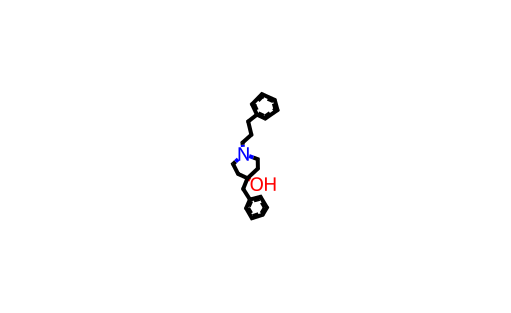 OC1(Cc2ccccc2)CCN(CCCc2ccccc2)CC1